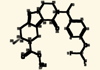 CC(c1ccc(OC(F)F)cc1)N1CCn2nc3c(c2C1=O)CN(C(=O)OC(C)(C)C)[C@H](C)C3